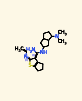 C=C/N=C1/SC2=C(CCC2)/C1=C(/N)NC1CC2CCC(N(C)C)C2C1